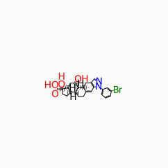 C[C@]12Cc3cnn(-c4cccc(Br)c4)c3C=C1CC[C@@H]1[C@@H]2[C@@H](O)C[C@@]2(C)[C@H]1CC[C@]2(O)C(=O)O